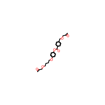 O=C(Oc1ccc(OCCCCOCC2CO2)cc1)c1ccc(COCC2CO2)cc1